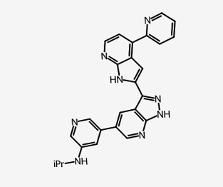 CC(C)Nc1cncc(-c2cnc3[nH]nc(-c4cc5c(-c6ccccn6)ccnc5[nH]4)c3c2)c1